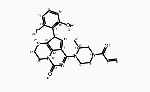 C=CC(=O)N1CCN(c2nc(=O)n3c4c2=CC(c2c(O)cccc2F)C=4SCC3)[C@@H](C)C1